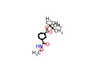 CONC(=O)c1cccc(B2OC(C)(C)C(C)(C)O2)c1